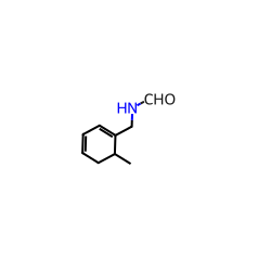 CC1CC=CC=C1CNC=O